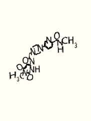 CNC(=O)c1ccc(N2CCN(Cc3nc4[nH]c(=O)n(C)c(=O)c4o3)CC2)cn1